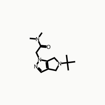 CN(C)C(=O)Cn1ncc2c1CN(C(C)(C)C)C2